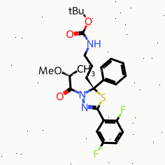 CO[C@@H](C)C(=O)N1N=C(c2cc(F)ccc2F)S[C@@]1(CCCNC(=O)OC(C)(C)C)c1ccccc1